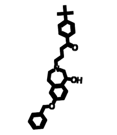 CC(C)(C)c1ccc(C(=O)CCCN2CCc3cc(OCc4ccccc4)ccc3C(O)C2)cc1